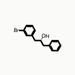 O[C@H](Cc1ccccc1)Cc1cccc(Br)c1